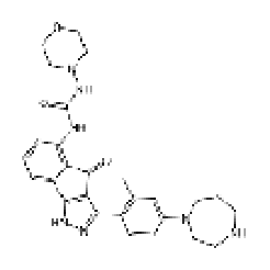 Cc1cc(N2CCCNCC2)ccc1-c1n[nH]c2c1C(=O)c1c(NC(=O)NN3CCOCC3)cccc1-2